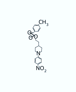 Cc1ccc(S(=O)(=O)OCCC2CCN(c3ccc([N+](=O)[O-])cc3)CC2)cc1